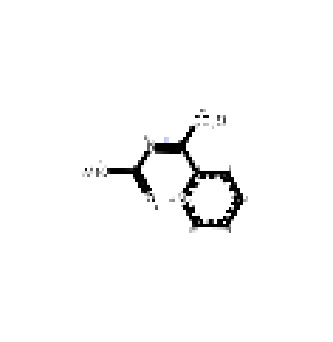 CCOC(=O)/C(=N/C(=O)OC)c1ccccn1